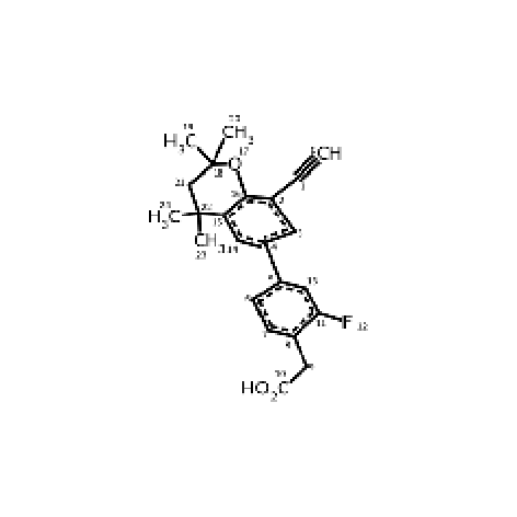 C#Cc1cc(-c2ccc(CC(=O)O)c(F)c2)cc2c1OC(C)(C)CC2(C)C